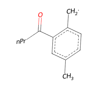 [CH2]c1ccc(C)cc1C(=O)CCC